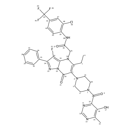 CCc1c(N2CCN(C(=O)c3ncnc(C)c3O)CC2)c(=O)n2nc(-c3ccccc3)c(F)c2n1CC(=O)Nc1ccc(C(F)(F)F)cc1Cl